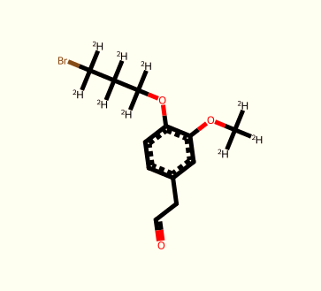 [2H]C([2H])([2H])Oc1cc(CC=O)ccc1OC([2H])([2H])C([2H])([2H])C([2H])([2H])Br